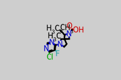 CC(C)(C)C1N(C(=O)O)CC12CCN(c1ncnc(Cl)c1F)C2